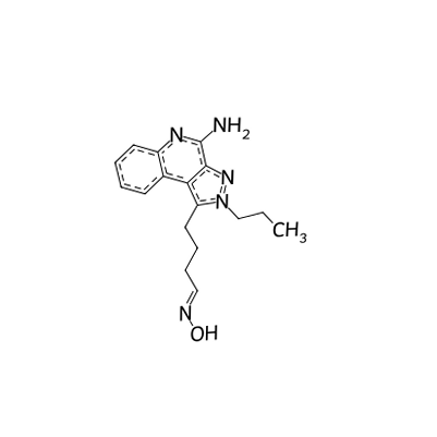 CCCn1nc2c(N)nc3ccccc3c2c1CCCC=NO